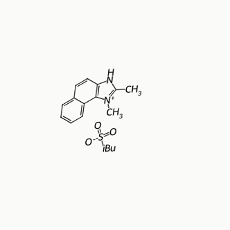 CCC(C)S(=O)(=O)[O-].Cc1[nH]c2ccc3ccccc3c2[n+]1C